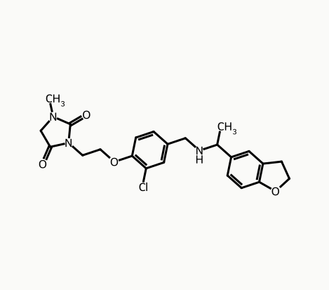 CC(NCc1ccc(OCCN2C(=O)CN(C)C2=O)c(Cl)c1)c1ccc2c(c1)CCO2